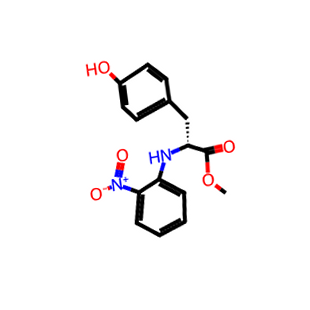 COC(=O)[C@@H](Cc1ccc(O)cc1)Nc1ccccc1[N+](=O)[O-]